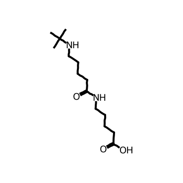 CC(C)(C)NCCCCC(=O)NCCCCC(=O)O